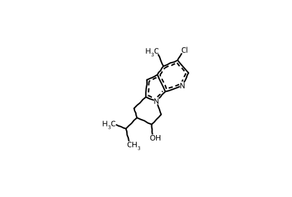 Cc1c(Cl)cnc2c1cc1n2CC(O)C(C(C)C)C1